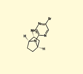 N[C@@H]1C[C@H]2CC[C@@H]1N2c1cnc(Br)cn1